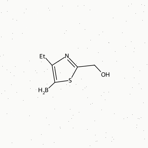 Bc1sc(CO)nc1CC